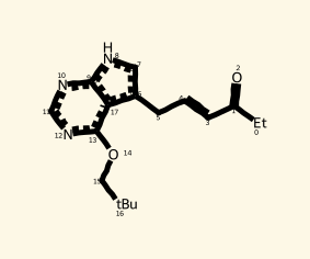 CCC(=O)C=CCc1c[nH]c2ncnc(OCC(C)(C)C)c12